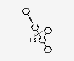 FC(F)(c1ccc(C#Cc2ccccc2)cc1)c1c(S)cc(-c2ccccc2)cc1-c1ccccc1